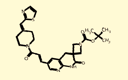 CC(C)(C)OC(=O)N1CC2(Cc3cc(C=CC(=O)N4CCC(=Cc5nccs5)CC4)cnc3NC2=O)C1